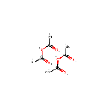 CCC(=O)OC(=O)CC.CCCC(=O)OC(=O)C(C)CC